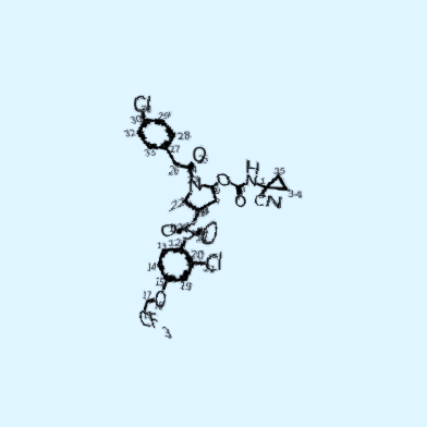 N#CC1(NC(=O)O[C@H]2C[C@@H](S(=O)(=O)c3ccc(OCC(F)(F)F)cc3Cl)CN2C(=O)Cc2ccc(Cl)cc2)CC1